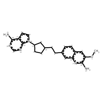 COc1cc2ccc(CCC3CCC(n4ccc5c(N)ncnc54)C3)cc2nc1N